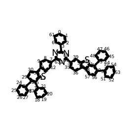 c1ccc(-c2nc(-c3ccc4c(c3)sc3c(-c5ccccc5)c(-c5ccccc5)ccc34)nc(-c3ccc4c(c3)sc3c(-c5ccccc5)c(-c5ccccc5)ccc34)n2)cc1